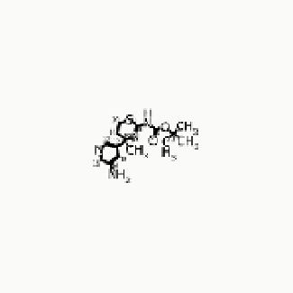 CC(C)(C)OC(=O)NC1=N[C@](C)(c2cncc(N)c2)CCS1